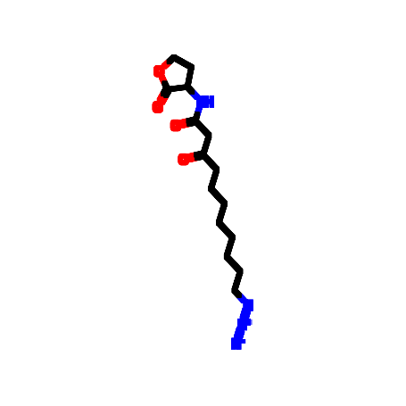 [N-]=[N+]=NCCCCCCCCC(=O)CC(=O)NC1CCOC1=O